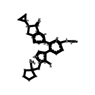 CNCc1ccc(-c2cnn(CC3(C)CCCC3)c2F)c(-c2ccc3c(c2)C(=O)N(C2CC2)C3)n1